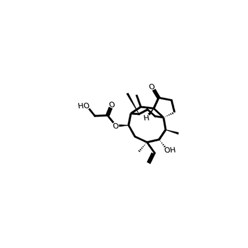 C=C[C@@]1(C)C[C@@H](OC(=O)CO)C2C(C)[C@@H]3C(=O)CC[C@@]3(CC[C@H]2C)[C@@H](C)[C@@H]1O